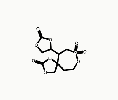 O=C1OCC(C2CS(=O)(=O)OCCC23COC(=O)O3)O1